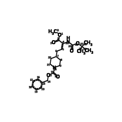 COC(=O)/C(=C\CC1CCN(C(=O)OCc2ccccc2)CC1)NC(=O)OC(C)(C)C